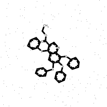 CCOC(=O)c1cnc2c(Sc3ccccc3)c(Sc3ccccc3)c(Sc3ccccc3)cc2c1Sc1ccccc1